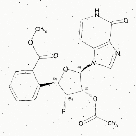 COC(=O)c1ccccc1[C@H]1O[C@@H](n2cnc3c(=O)[nH]ccc32)[C@H](OC(C)=O)[C@@H]1F